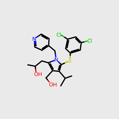 CC(O)Cc1c(CO)c(C(C)C)c(Sc2cc(Cl)cc(Cl)c2)n1Cc1ccncc1